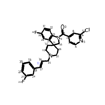 O=C(c1ccnc(Cl)c1)N1CC2(CCN(C/C=C/c3cccc(F)c3)CC2)c2cc(F)ccc21